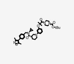 Cc1noc(C)c1-c1ccc(CN(C(=O)[C@@H]2CCCN(c3cccc(OC(C)(C)C(=O)N4CCN(C(=O)OC(C)(C)C)CC4)c3)C2)C2CC2)cc1